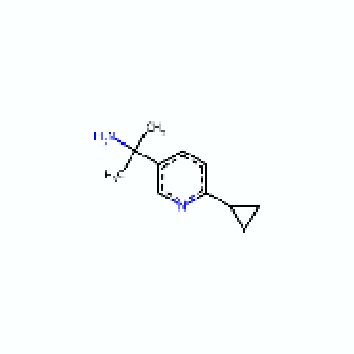 CC(C)(N)c1ccc(C2CC2)nc1